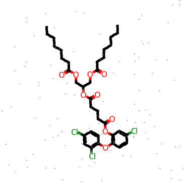 CCCCCCCC(=O)OCC(COC(=O)CCCCCCC)OC(=O)CCCC(=O)Oc1cc(Cl)ccc1Oc1ccc(Cl)cc1Cl